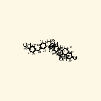 C[C@H]1C[C@@H]2[C@H]([C@@H](O)C[C@@]3(C)[C@H]2C[C@H]2O[C@@H](c4cccc(Cc5ccc(CO)cc5)c4)O[C@]23C(=O)CO)[C@@]2(C)C=CC(=O)C=C12